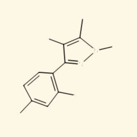 Cc1c(O)c(-c2ccc(F)cc2F)nn1C(C)C